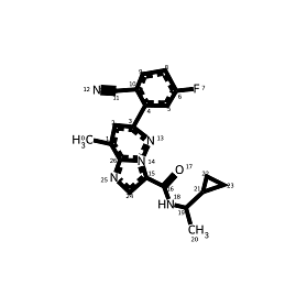 Cc1cc(-c2cc(F)ccc2C#N)nn2c(C(=O)NC(C)C3CC3)cnc12